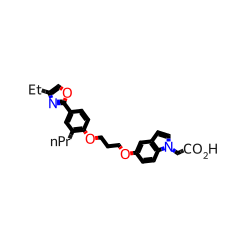 CCCc1cc(-c2nc(CC)co2)ccc1OCCCOc1ccc2c(ccn2CC(=O)O)c1